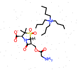 CC1(C)[C@H](C(=O)[O-])N2C(=O)[C@H](COC(=O)CN)[C@H]2S1(=O)=O.CCCC[N+](CCCC)(CCCC)CCCC